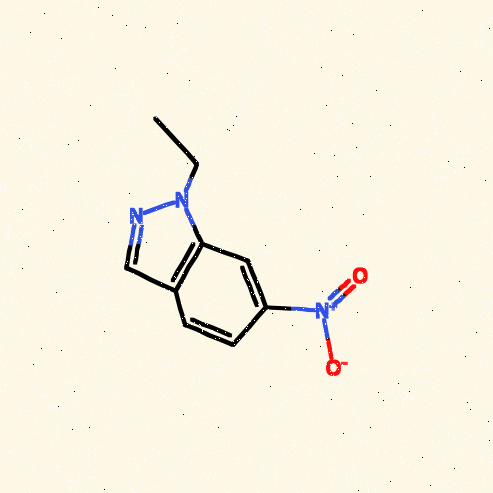 CCn1ncc2ccc([N+](=O)[O-])cc21